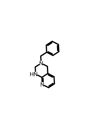 c1ccc(CN2CNc3ncccc3C2)cc1